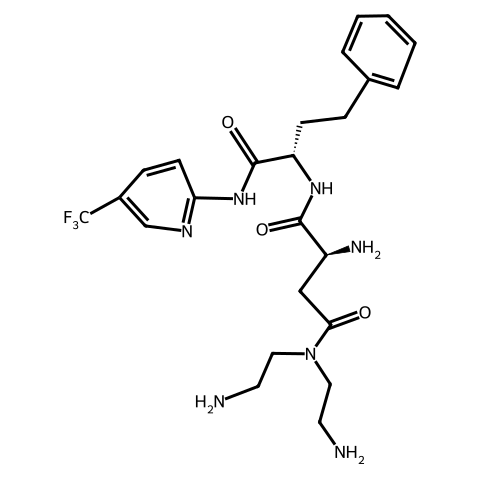 NCCN(CCN)C(=O)C[C@H](N)C(=O)N[C@@H](CCc1ccccc1)C(=O)Nc1ccc(C(F)(F)F)cn1